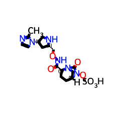 Cc1nccn1[C@@H]1CN[C@H](CONC(=O)[C@@H]2CC[C@@H]3CN2C(=O)N3OS(=O)(=O)O)C1